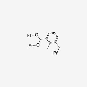 CCOC(OCC)c1cccc(CC(C)C)c1C